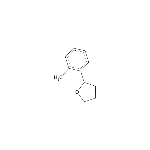 Cc1ccccc1C1CCCO1